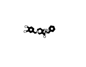 O=c1c2c([nH]n1Cc1ccccc1)CCN(Cc1ccc(Cl)c(Cl)c1)C2